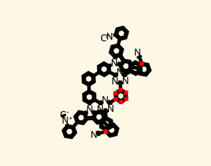 [C-]#[N+]c1ccccc1-c1ccc2c(c1)c1cc(-c3ccccc3C#N)ccc1n2-c1ccc(-c2cccc(-c3ccc(-n4c5ccc(-c6ccccc6C#N)cc5c5cc(-c6ccccc6[N+]#[C-])ccc54)c(-c4nc(-c5ccccc5)nc(-c5ccccc5)n4)c3)c2)cc1-c1nc(-c2ccccc2)nc(-c2ccccc2)n1